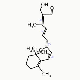 CC1=C(\C=C/C(C)=C/C=C/C(C)=C(\C=O)CO)C(C)(C)CCC1